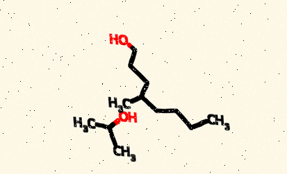 CC(C)O.CCCCC(C)CCCO